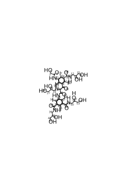 O=C(CO)Nc1c(I)c(C(=O)NCC(O)CO)c(I)c(C(=O)C(NCC(O)CO)C(=O)Nc2c(I)c(C(=O)NCC(O)CO)c(I)c(C(=O)NCC(O)CO)c2I)c1I